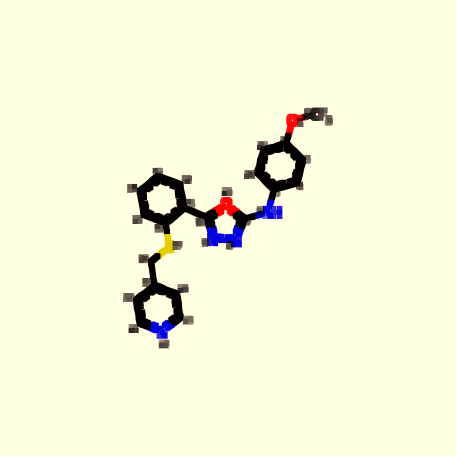 FC(F)(F)Oc1ccc(Nc2nnc(-c3ccccc3SCc3ccncc3)o2)cc1